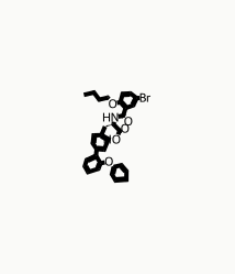 CCCCOc1ccc(Br)cc1C(=O)N[C@@H](Cc1ccc(-c2ccccc2Oc2ccccc2)cc1)C(=O)O